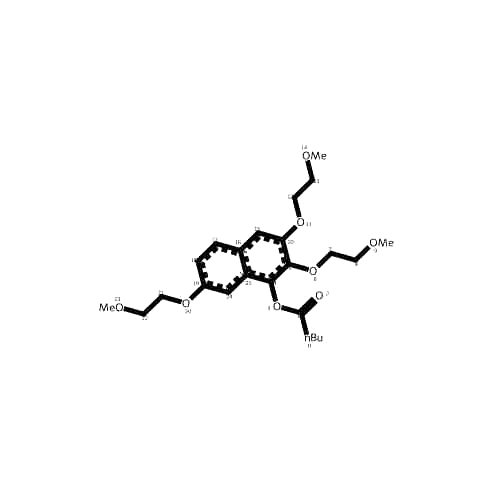 CCCCC(=O)Oc1c(OCCOC)c(OCCOC)cc2ccc(OCCOC)cc12